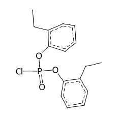 CCc1ccccc1OP(=O)(Cl)Oc1ccccc1CC